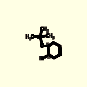 C[Si](C)(C)O[C@@H]1CC=CC[C@H]1Br